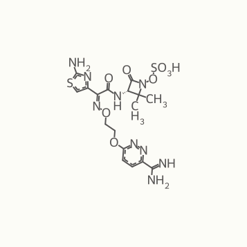 CC1(C)[C@H](NC(=O)/C(=N\OCCOc2ccc(C(=N)N)nn2)c2csc(N)n2)C(=O)N1OS(=O)(=O)O